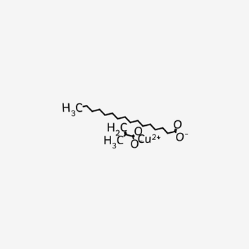 C=C(C)C(=O)[O-].CCCCCCCCCCCCCCCC(=O)[O-].[Cu+2]